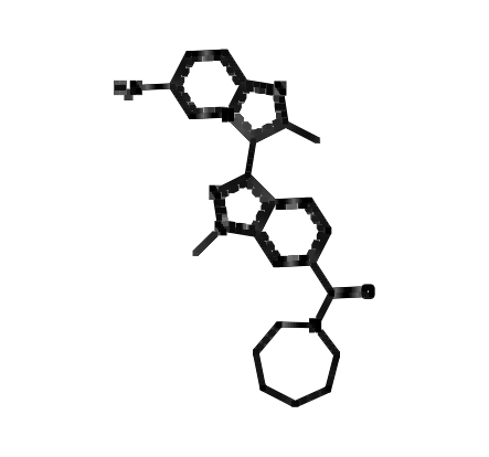 Cc1nc2ccc(N)cn2c1-c1nn(C)c2cc(C(=O)N3CCCCCC3)ccc12